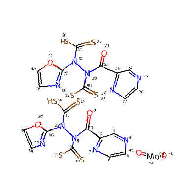 O=C(c1cnccn1)N(C(=S)[S-])N(C(=S)S)c1ncco1.O=C(c1cnccn1)N(C(=S)[S-])N(C(=S)S)c1ncco1.[O]=[Mo+2]=[O]